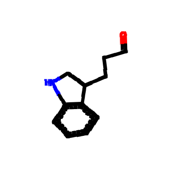 O=CCCC1CNc2ccccc21